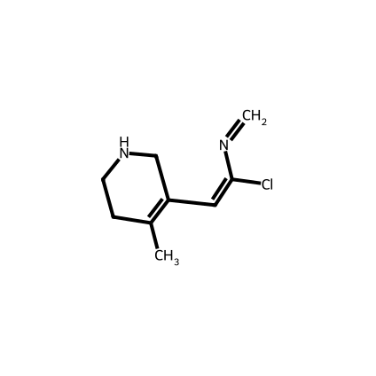 C=N/C(Cl)=C\C1=C(C)CCNC1